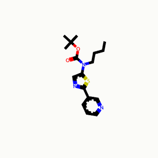 CCCCN(C(=O)OC(C)(C)C)c1cnc(-c2cccnc2)s1